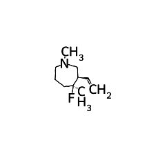 C=C[C@@H]1CN(C)CCC[C@]1(C)F